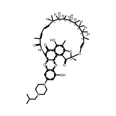 C/C1=C/C=C/[C@H](C)[C@H](O)[C@@H](C)[C@@H](O)[C@@H](C)[C@H](C)[C@H](C)[C@@H](C)/C=C/O[C@@]2(C)Oc3c(C)c(O)c4c(=O)c(c5oc6cc(N7CCN(CC(C)C)CC7)cc(O)c6nc-5c4c3C2=O)NC1=O